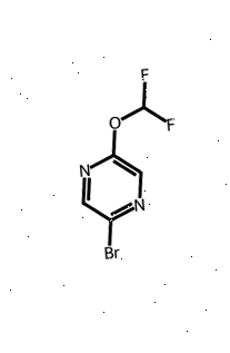 FC(F)Oc1cnc(Br)cn1